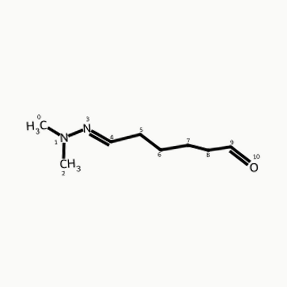 CN(C)N=CCCCCC=O